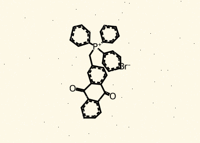 O=C1c2ccccc2C(=O)c2cc(C[P+](c3ccccc3)(c3ccccc3)c3ccccc3)ccc21.[Br-]